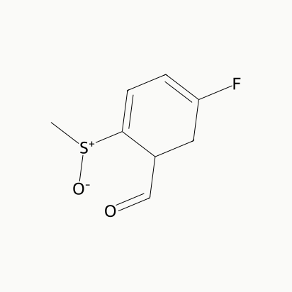 C[S+]([O-])C1=CC=C(F)CC1C=O